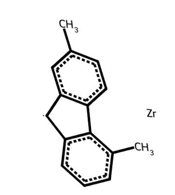 Cc1ccc2c(c1)[CH]c1cccc(C)c1-2.[Zr]